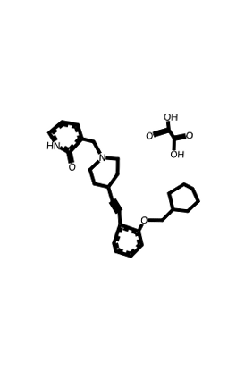 O=C(O)C(=O)O.O=c1[nH]cccc1CN1CCC(C#Cc2ccccc2OCC2CCCCC2)CC1